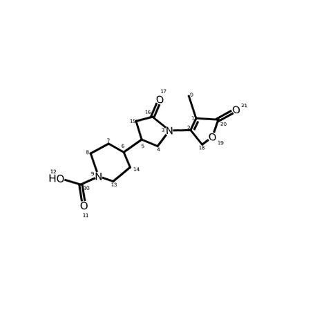 CC1=C(N2CC(C3CCN(C(=O)O)CC3)CC2=O)COC1=O